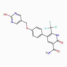 NC(=O)c1cc(-c2ccc(OCc3cnc(O)nc3)cc2)c(C(F)(F)F)[nH]c1=O